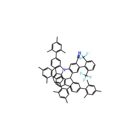 Cc1cc(C)c(-c2ccc3c(c2)C(c2cc(-c4c(C(F)(F)F)cccc4C(F)(F)F)c(C#N)cc2-n2c4cc(-c5c(C)cc(C)cc5C)ccc4c4ccc(-c5c(C)cc(C)cc5C)cc42)c2cc(-c4c(C)cc(C)cc4C)ccc2-3)c(C)c1